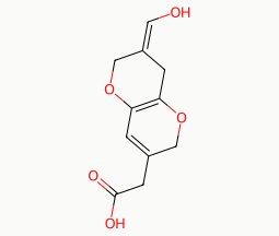 O=C(O)CC1=CC2=C(CC(=CO)CO2)OC1